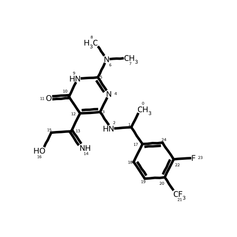 CC(Nc1nc(N(C)C)[nH]c(=O)c1C(=N)CO)c1ccc(C(F)(F)F)c(F)c1